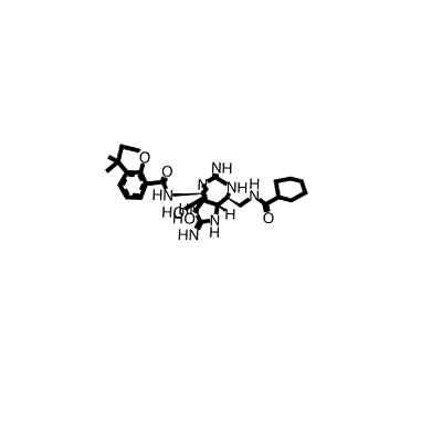 CC1(C)CCOc2c(C(=O)N[C@H]3CN4C(=N)N[C@@H](CNC(=O)C5CCCCC5)[C@@H]5NC(=N)N[C@@]54C3(O)O)cccc21